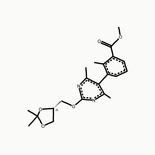 COC(=O)c1cccc(-c2c(C)nc(OC[C@@H]3COC(C)(C)O3)nc2C)c1C